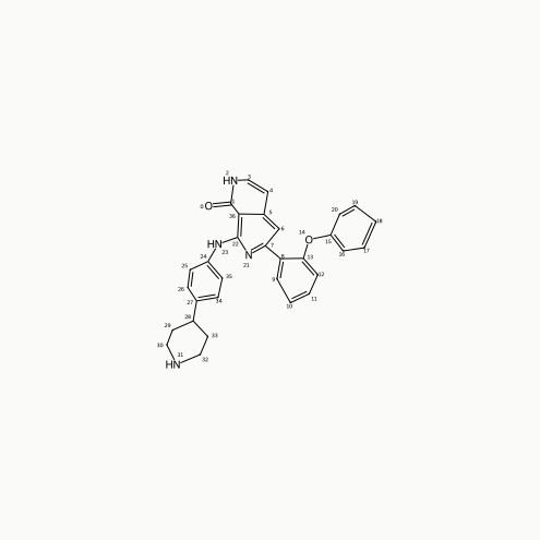 O=c1[nH]ccc2cc(-c3ccccc3Oc3ccccc3)nc(Nc3ccc(C4CCNCC4)cc3)c12